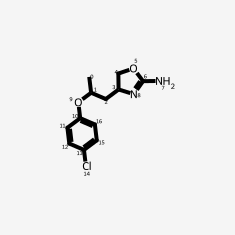 CC(CC1COC(N)=N1)Oc1ccc(Cl)cc1